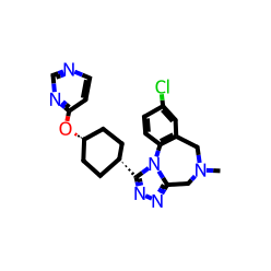 CN1Cc2cc(Cl)ccc2-n2c(nnc2[C@H]2CC[C@@H](Oc3ccncn3)CC2)C1